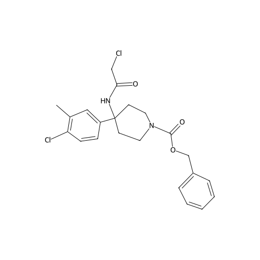 Cc1cc(C2(NC(=O)CCl)CCN(C(=O)OCc3ccccc3)CC2)ccc1Cl